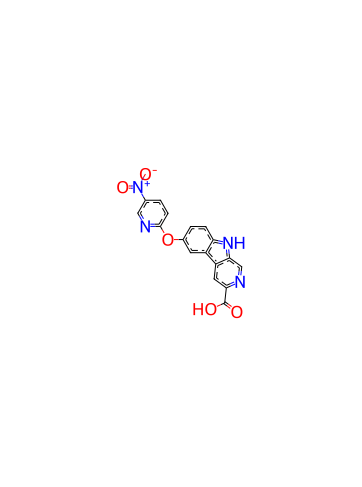 O=C(O)c1cc2c(cn1)[nH]c1ccc(Oc3ccc([N+](=O)[O-])cn3)cc12